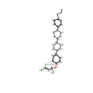 CCCc1ccc(C2CCC(C3CCC(c4ccc(OC(F)(F)C=C(F)F)cc4)CC3)CC2)cc1